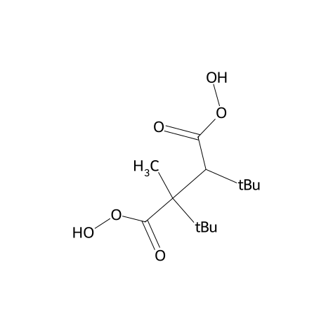 CC(C)(C)C(C(=O)OO)C(C)(C(=O)OO)C(C)(C)C